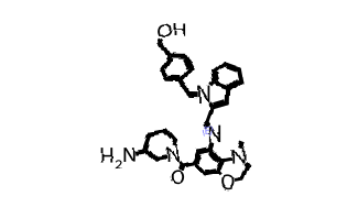 CN1CCOc2cc(C(=O)N3CCCC(N)C3)cc(/N=C/c3cc4ccccc4n3Cc3ccc(CO)cc3)c21